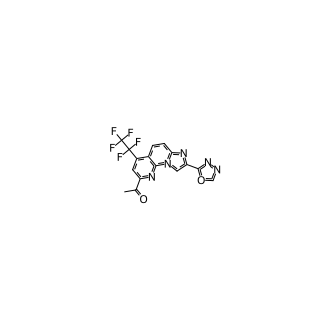 CC(=O)c1cc(C(F)(F)C(F)(F)F)c2ccc3nc(-c4nnco4)cn3c2n1